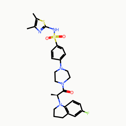 Cc1nc(NS(=O)(=O)c2ccc(N3CCN(C(=O)[C@H](C)N4CCCc5cc(F)ccc54)CC3)cc2)sc1C